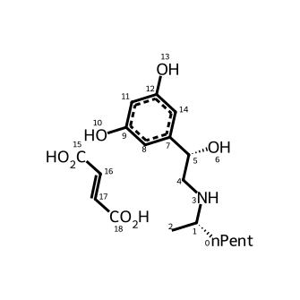 CCCCC[C@H](C)NC[C@@H](O)c1cc(O)cc(O)c1.O=C(O)C=CC(=O)O